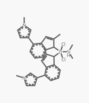 CC1=Cc2c(-c3ccn(C)c3)cccc2[CH]1[Zr]([Cl])([Cl])([CH]1C(C)=Cc2c(-c3ccn(C)c3)cccc21)[SiH](C)C